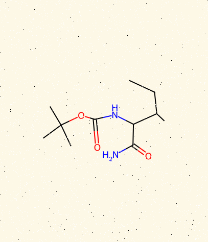 CCC(C)C(NC(=O)OC(C)(C)C)C(N)=O